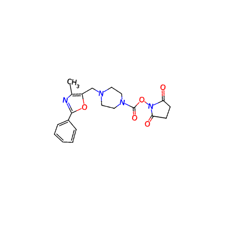 Cc1nc(-c2ccccc2)oc1CN1CCN(C(=O)ON2C(=O)CCC2=O)CC1